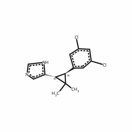 CC1(C)[C@H](c2cc(Cl)cc(Cl)c2)[C@H]1c1cnc[nH]1